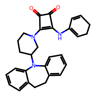 O=c1c(NC2=CCCC=C2)c(N2CCCC(N3c4ccccc4CCc4ccccc43)C2)c1=O